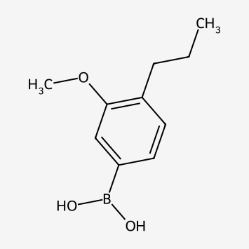 CCCc1ccc(B(O)O)cc1OC